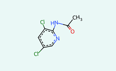 CC(=O)Nc1ncc(Cl)cc1Cl